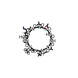 C/C=C/C[C@@H](C)[C@@H](O)[C@H]1C(=O)N[C@@H](CC)C(=O)N(C)C(COS(C)(=O)=O)C(=O)N(C)[C@@H](CC(C)(C)C)C(=O)N[C@@H](C(C)C)C(=O)N(C)[C@@H](CC(C)C)C(=O)N[C@@H](C)C(=O)N[C@H](C)C(=O)N(C)[C@@H](CC(C)C)C(=O)N(C)[C@@H](CC(C)C)C(=O)N(C)[C@@H](C(C)C)C(=O)N1C